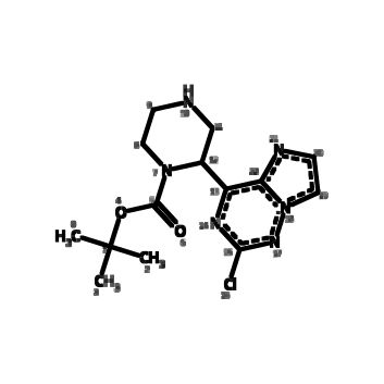 CC(C)(C)OC(=O)N1CCNCC1c1nc(Cl)nn2ccnc12